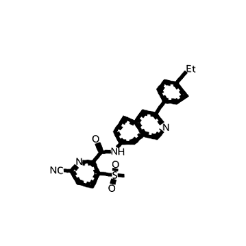 CCc1ccc(-c2cc3ccc(NC(=O)c4nc(C#N)ccc4S(C)(=O)=O)cc3cn2)cc1